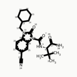 CC(C)(C)[C@H](NC(=O)n1c(=O)n(CC2CCCCC2)c2ccc(C#N)cc21)C(N)=O